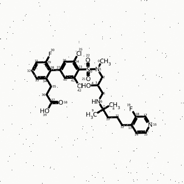 CN(CC(O)CNC(C)(C)CCCc1ccncc1F)S(=O)(=O)c1c(Cl)cc(-c2c(F)cccc2CCC(=O)O)cc1Cl